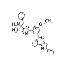 CCOc1cc(C(=O)N2CCC[C@@H]2c2nc(C)cs2)cc(-c2nnc([C@](C)(N)Cc3ccccc3)o2)n1